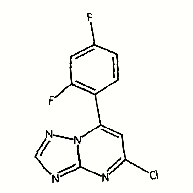 Fc1ccc(-c2cc(Cl)nc3ncnn23)c(F)c1